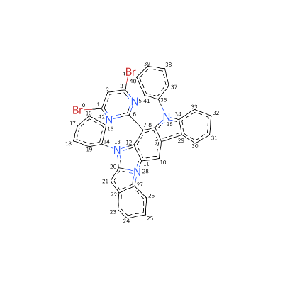 Brc1cc(Br)nc(-c2c3c(cc4c2n(-c2ccccc2)c2cc5ccccc5n42)c2ccccc2n3-c2ccccc2)n1